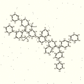 CC1(C)c2ccc(-c3ccccc3)cc2N2c3cc(-c4ccccc4)ccc3C(C)(C)c3cc(-c4ccc(-c5ccc(N(c6ccc(-c7ccccc7)cc6)c6ccc(-c7ccccc7)cc6)c6ccccc56)c5ccccc45)cc1c32